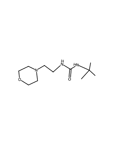 CC(C)(C)NC(=O)NCCN1CCOCC1